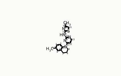 Cc1ccc2c(c1)CCCN2c1ccnc(Nc2nc(C)cs2)n1